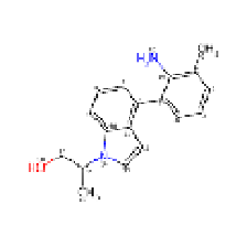 Cc1cccc(-c2cccc3c2ccn3C(C)CO)c1N